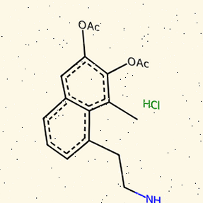 CC(=O)Oc1cc2cccc(CCN)c2c(C)c1OC(C)=O.Cl